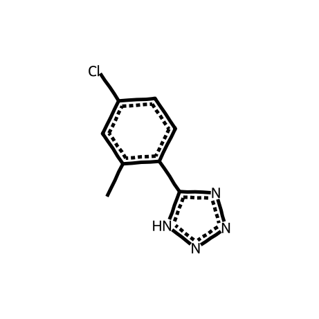 Cc1cc(Cl)ccc1-c1nnn[nH]1